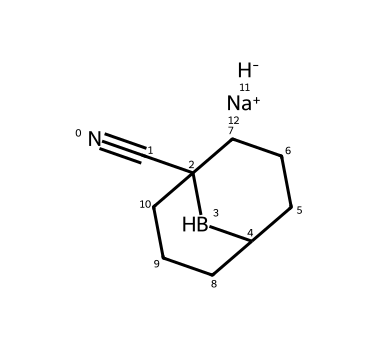 N#CC12BC(CCC1)CCC2.[H-].[Na+]